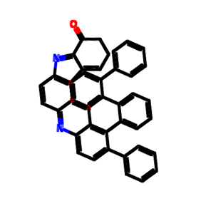 O=C1CCC=C2C1=Nc1ccc3nc4ccc(-c5ccccc5)c(-c5ccccc5-c5ccccc5-c5ccccc5)c4cc3c12